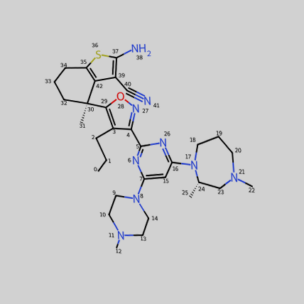 CCCc1c(-c2nc(N3CCN(C)CC3)cc(N3CCCN(C)C[C@@H]3C)n2)noc1[C@@]1(C)CCCc2sc(N)c(C#N)c21